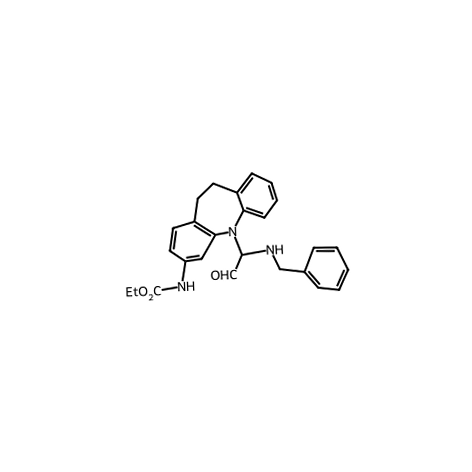 CCOC(=O)Nc1ccc2c(c1)N(C(C=O)NCc1ccccc1)c1ccccc1CC2